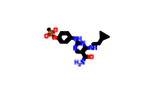 CS(=O)(=O)Oc1ccc(Nc2ncc(C(N)=O)c(NCCC3CC3)n2)cc1